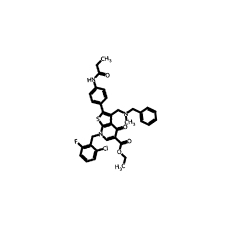 CCOC(=O)c1cn(Cc2c(F)cccc2Cl)c2sc(-c3ccc(NC(=O)CC)cc3)c(CN(C)Cc3ccccc3)c2c1=O